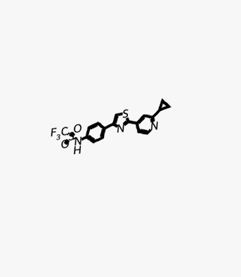 O=S(=O)(Nc1ccc(-c2csc(-c3ccnc(C4CC4)c3)n2)cc1)C(F)(F)F